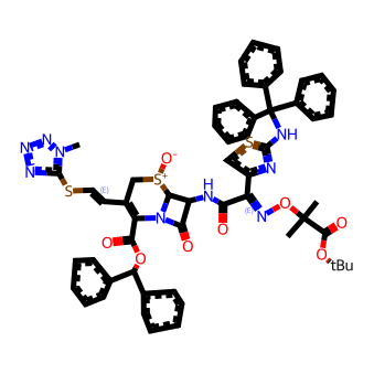 Cn1nnnc1S/C=C/C1=C(C(=O)OC(c2ccccc2)c2ccccc2)N2C(=O)C(NC(=O)/C(=N/OC(C)(C)C(=O)OC(C)(C)C)c3csc(NC(c4ccccc4)(c4ccccc4)c4ccccc4)n3)C2[S+]([O-])C1